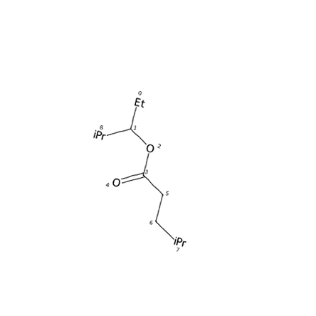 CCC(OC(=O)CCC(C)C)C(C)C